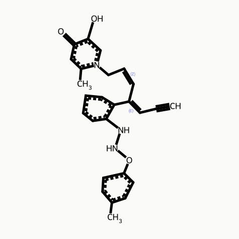 C#C/C=C(\C=C/Cn1cc(O)c(=O)cc1C)c1ccccc1NNOc1ccc(C)cc1